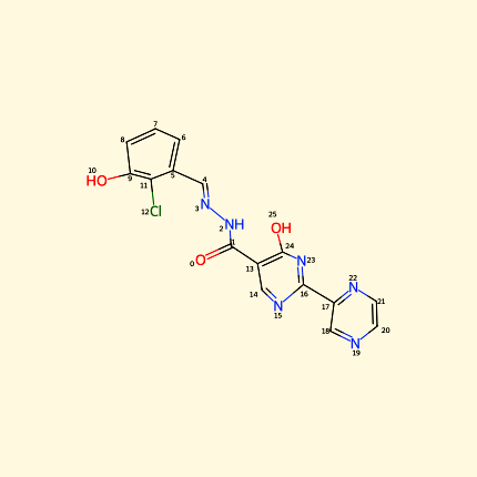 O=C(NN=Cc1cccc(O)c1Cl)c1cnc(-c2cnccn2)nc1O